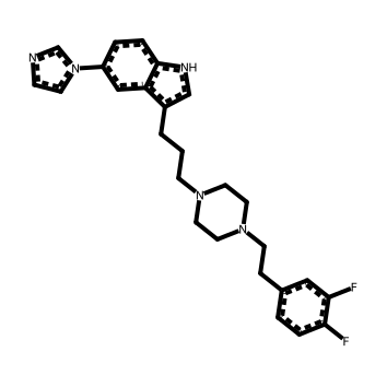 Fc1ccc(CCN2CCN(CCCc3c[nH]c4ccc(-n5ccnc5)cc34)CC2)cc1F